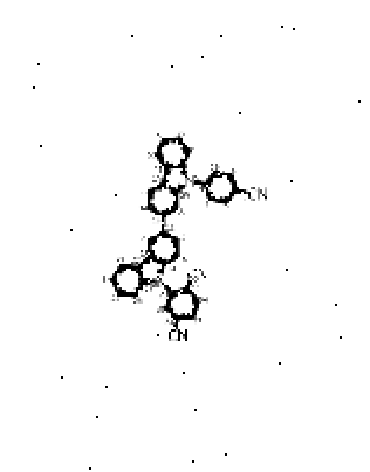 N#Cc1ccc(-n2c3ccccc3c3ccc(-c4ccc5c(c4)c4ccccc4n5-c4cc(C#N)ccc4C#N)cc32)cc1